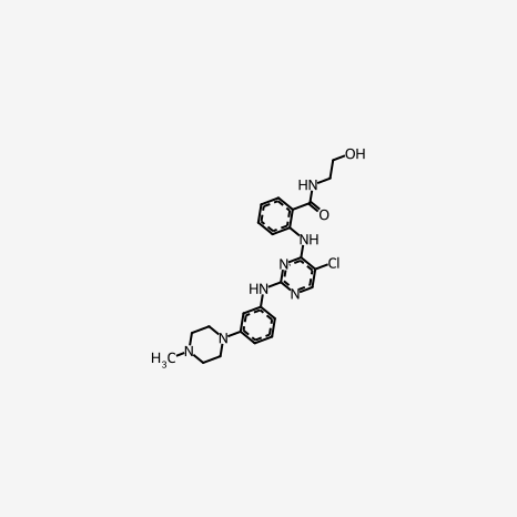 CN1CCN(c2cccc(Nc3ncc(Cl)c(Nc4ccccc4C(=O)NCCO)n3)c2)CC1